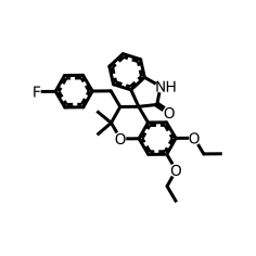 CCOc1cc2c(cc1OCC)C1(C(=O)Nc3ccccc31)C(Cc1ccc(F)cc1)C(C)(C)O2